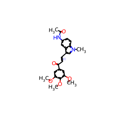 COc1cc(C(=O)/C=C/c2cn(C)c3ccc(NC(C)=O)cc23)cc(OC)c1OC